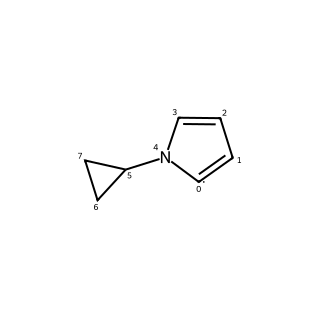 [c]1cccn1C1CC1